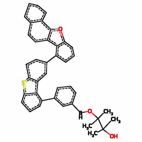 CC(C)(O)C(C)(C)OBc1cccc(-c2cccc3sc4ccc(-c5cccc6oc7c8ccccc8ccc7c56)cc4c23)c1